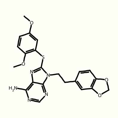 COc1ccc(OC)c(Sc2nc3c(N)ncnc3n2CCc2ccc3c(c2)OCO3)c1